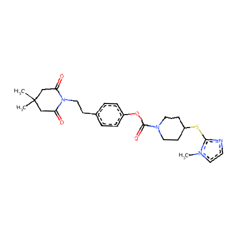 Cn1ccnc1SC1CCN(C(=O)Oc2ccc(CCN3C(=O)CC(C)(C)CC3=O)cc2)CC1